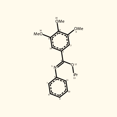 COc1cc(/C(=N/c2ccccc2)OC(C)C)cc(OC)c1OC